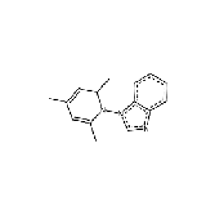 CC1=CC(C)N(n2cnc3ccccc32)C(C)=C1